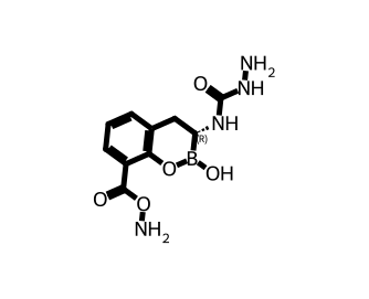 NNC(=O)N[C@H]1Cc2cccc(C(=O)ON)c2OB1O